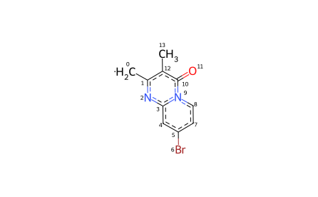 [CH2]c1nc2cc(Br)ccn2c(=O)c1C